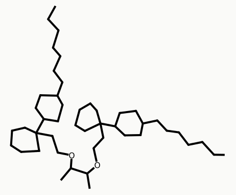 CCCCCCCC1CCC(C2(CCOC(C)C(C)OCCC3(C4CCC(CCCCCCC)CC4)CCCCC3)CCCCC2)CC1